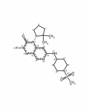 CC1(C)CCC[C@H]1n1c(=O)c(F)nc2cnc(NC3CCN(S(C)(=O)=O)CC3)cc21